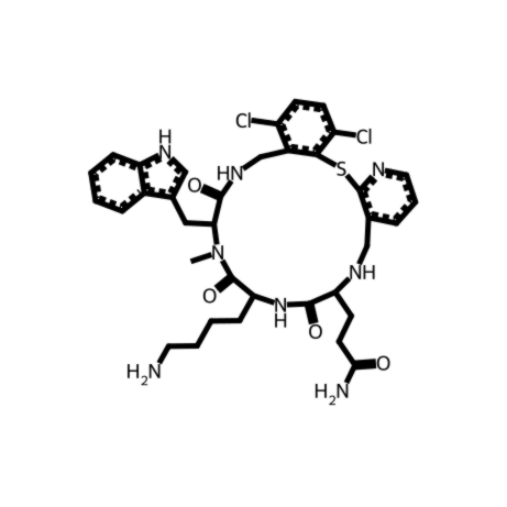 CN1C(=O)C(CCCCN)NC(=O)C(CCC(N)=O)NCc2cccnc2Sc2c(Cl)ccc(Cl)c2CNC(=O)C1Cc1c[nH]c2ccccc12